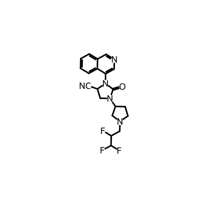 N#CC1CN(C2CCN(CC(F)C(F)F)C2)C(=O)N1c1cncc2ccccc12